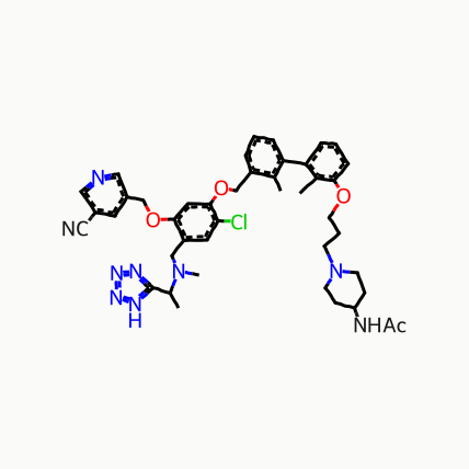 CC(=O)NC1CCN(CCCOc2cccc(-c3cccc(COc4cc(OCc5cncc(C#N)c5)c(CN(C)C(C)c5nnn[nH]5)cc4Cl)c3C)c2C)CC1